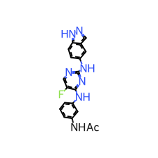 CC(=O)Nc1cccc(Nc2nc(Nc3ccc4[nH]ncc4c3)ncc2F)c1